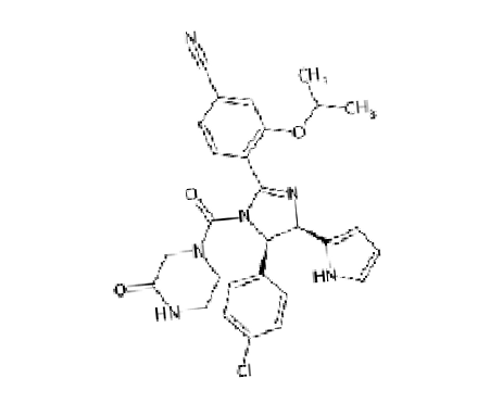 CC(C)Oc1cc(C#N)ccc1C1=N[C@@H](c2ccc[nH]2)[C@@H](c2ccc(Cl)cc2)N1C(=O)N1CCNC(=O)C1